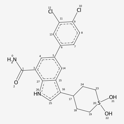 NC(=O)c1cc(-c2ccc(Cl)c(Cl)c2)cc2c(C3CCS(O)(O)CC3)c[nH]c12